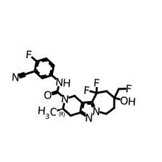 C[C@@H]1Cc2nn3c(c2CN1C(=O)Nc1ccc(F)c(C#N)c1)C(F)(F)CC(O)(CF)CC3